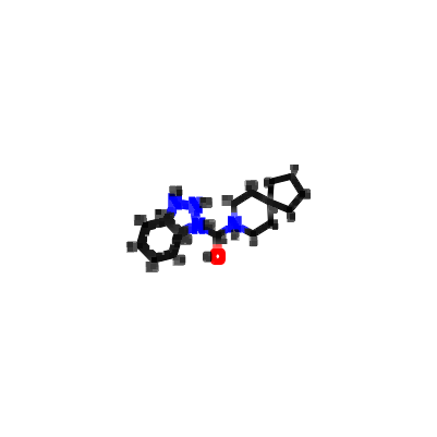 O=C(N1CCC2(CCCC2)CC1)n1nnc2ccccc21